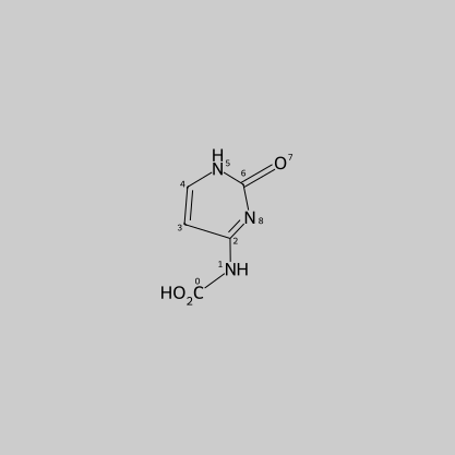 O=C(O)Nc1cc[nH]c(=O)n1